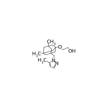 Cc1ccnn1CC12CC3(C)CC(C)(C1)CC(OCCO)(C3)C2